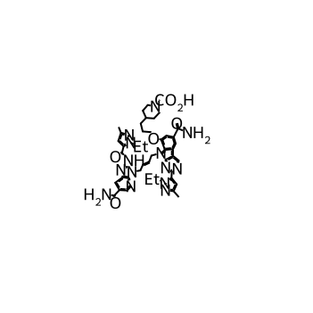 CCn1nc(C)cc1C(=O)Nc1nc2cc(C(N)=O)cnc2n1C/C=C/Cn1c2nc(-c3cc(C)nn3CC)ncc2c2cc(C(N)=O)cc(OCCCC3CCN(C(=O)O)CC3)c21